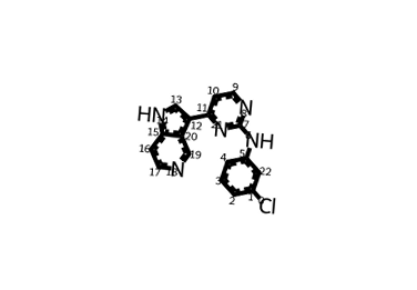 Clc1cccc(Nc2nccc(-c3c[nH]c4ccncc34)n2)c1